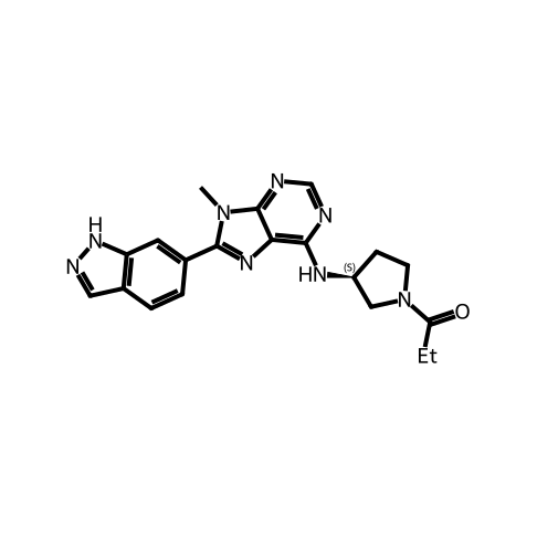 CCC(=O)N1CC[C@H](Nc2ncnc3c2nc(-c2ccc4cn[nH]c4c2)n3C)C1